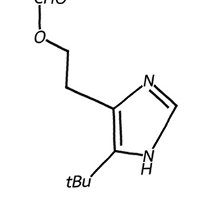 CC(C)(C)c1[nH]cnc1CCOC=O